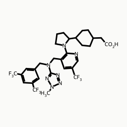 Cn1nnc(N(Cc2cc(C(F)(F)F)cc(C(F)(F)F)c2)Cc2cc(C(F)(F)F)cnc2N2CCCC2C2CCC(CC(=O)O)CC2)n1